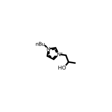 CCCCn1cc[n+](CC(C)O)c1